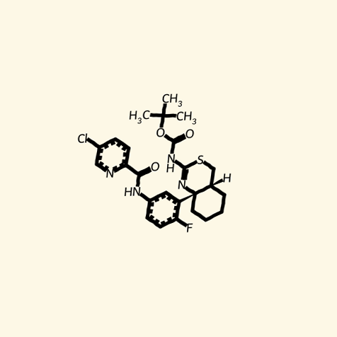 CC(C)(C)OC(=O)NC1=N[C@@]2(c3cc(NC(=O)c4ccc(Cl)cn4)ccc3F)CCCC[C@H]2CS1